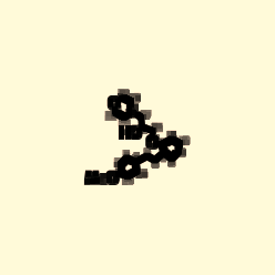 COc1ccc(CCc2ccccc2OC[C@@H](O)CN2C=COC=C2)cc1